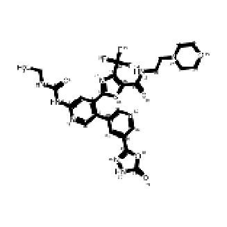 CCNC(=O)Nc1cc(-c2nc(C(F)(F)F)c(C(=O)NCCN3CCOCC3)s2)c(-c2cncc(-c3n[nH]c(=O)o3)c2)cn1